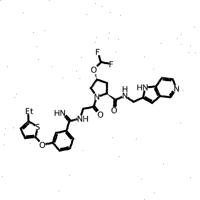 CCc1ccc(Oc2cccc(C(=N)NCC(=O)N3C[C@H](OC(F)F)C[C@H]3C(=O)NCc3cc4cnccc4[nH]3)c2)s1